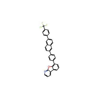 FC(F)(F)c1ccc(-c2ccc3cc(-c4ccc(-c5cccc6c5oc5ncccc56)cc4)ccc3c2)cc1